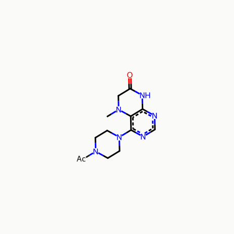 CC(=O)N1CCN(c2ncnc3c2N(C)CC(=O)N3)CC1